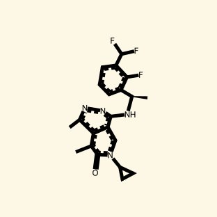 Cc1nnc(N[C@H](C)c2cccc(C(F)F)c2F)c2cn(C3CC3)c(=O)c(C)c12